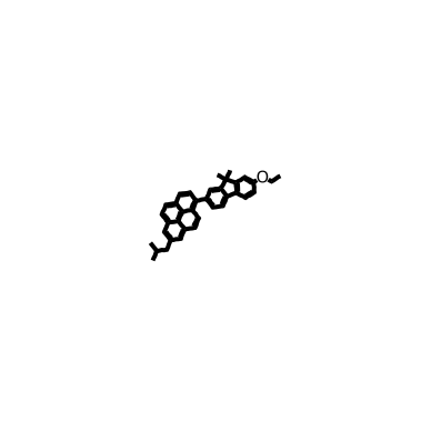 CCOc1ccc2c(c1)C(C)(C)c1cc(-c3ccc4ccc5cc(CC(C)C)cc6ccc3c4c56)ccc1-2